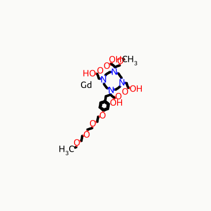 CCOCCOCCOCCOc1ccc(CC(C(=O)O)N2CCN(CC(=O)O)CCN(C(COC)C(=O)O)CCN(CC(=O)O)CC2)cc1.[Gd]